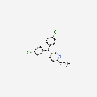 O=C(O)c1ccc(C(c2ccc(Cl)cc2)c2ccc(Cl)cc2)cn1